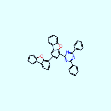 c1ccc(-c2nc(-c3ccccc3)nc(-c3cc(-c4cccc5c4oc4ccccc45)cc4c3oc3ccccc34)n2)cc1